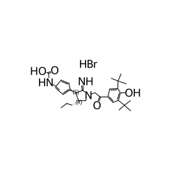 Br.CCC[C@H]1CN(CC(=O)c2cc(C(C)(C)C)c(O)c(C(C)(C)C)c2)C(=N)[C@@H]1c1ccc(NC(=O)O)cc1